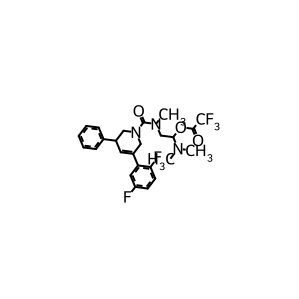 CN(CC(OC(=O)C(F)(F)F)N(C)C)C(=O)N1CC(c2cc(F)ccc2F)=CC(c2ccccc2)C1